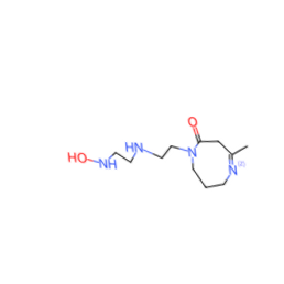 C/C1=N/CCCN(CCNCCNO)C(=O)C1